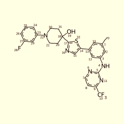 Cc1cc(Nc2nccc(C(F)(F)F)n2)cc(-c2cnc(C3(O)CCN(c4cccc(F)c4)CC3)s2)c1